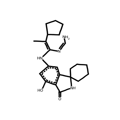 C/C(=C(/N=C\N)Nc1cc(O)c2c(c1)C1(CCCCC1)NC2=O)C1CCCC1